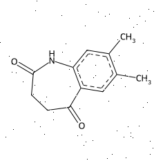 Cc1cc2c(cc1C)C(=O)CCC(=O)N2